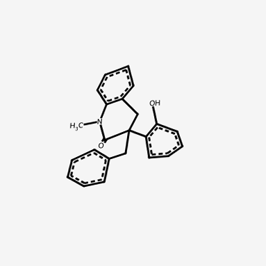 CN1C(=O)C(Cc2ccccc2)(c2ccccc2O)Cc2ccccc21